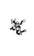 CC(C)CN(c1ccnc(C#N)n1)N(OC(=O)C(F)(F)F)C(=O)NCCCl